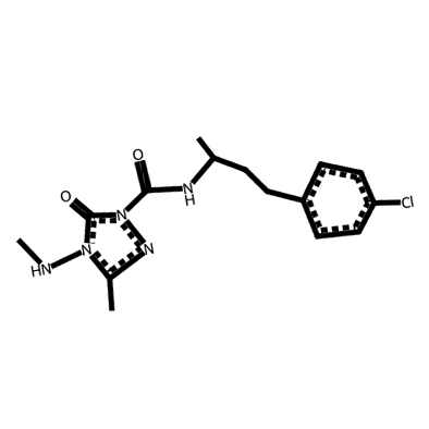 CNn1c(C)nn(C(=O)NC(C)CCc2ccc(Cl)cc2)c1=O